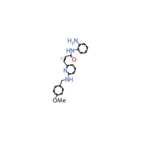 COc1ccc(CNc2cccc(/C=C\C(=O)Nc3ccccc3N)n2)cc1